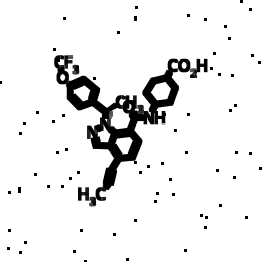 CC#Cc1ccc(C(=O)NC2CCC(C(=O)O)CC2)c2c1cnn2[C@H](C)c1ccc(OC(F)(F)F)cc1